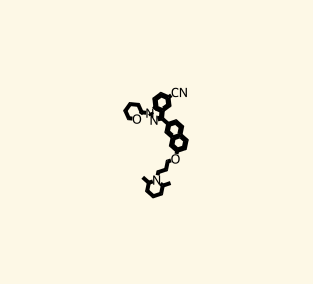 CC1CCCC(C)N1CCCOc1ccc2ccc(-c3nn(C4CCCCO4)c4ccc(C#N)cc34)cc2c1